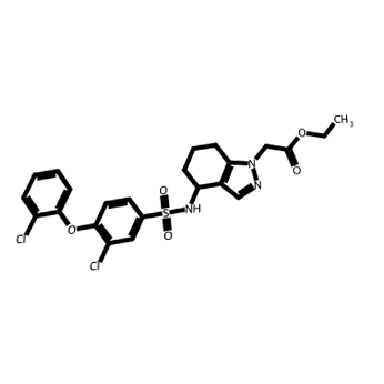 CCOC(=O)Cn1ncc2c1CCCC2NS(=O)(=O)c1ccc(Oc2ccccc2Cl)c(Cl)c1